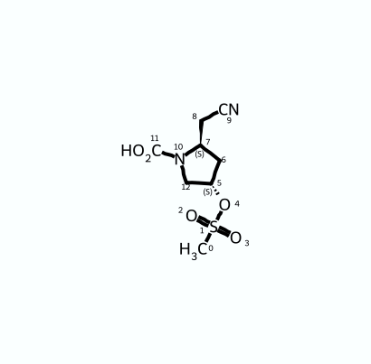 CS(=O)(=O)O[C@H]1C[C@H](CC#N)N(C(=O)O)C1